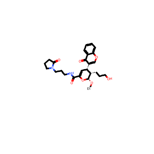 CCO[C@@H]1OC(C(=O)NCCCN2CCCC2=O)=C[C@H](c2coc3ccccc3c2=O)[C@@H]1CCCO